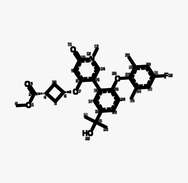 COC(=O)[C@H]1C[C@@H](Oc2cc(=O)n(C)cc2-c2cc(C(C)(C)O)ccc2Oc2c(C)cc(F)cc2C)C1